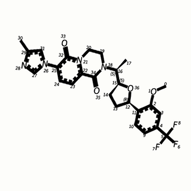 COc1cc(C(F)(F)F)ccc1[C@H]1CC[C@@H]([C@H](C)N2CCn3c(ccc(-n4cnc(C)c4)c3=O)C2=O)O1